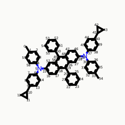 Cc1ccc(N(c2ccc(C3CC3)cc2)c2ccc3c(-c4ccccc4)c4cc(N(c5ccc(C)cc5)c5ccc(C6CC6)cc5)ccc4c(-c4ccccc4)c3c2)cc1